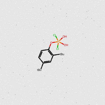 CC(C)(C)c1ccc(OP(O)(O)(Cl)Cl)c(C(C)(C)C)c1